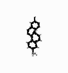 Cc1ccc2c(ccc3c4ccc(N)cc4ccc23)c1